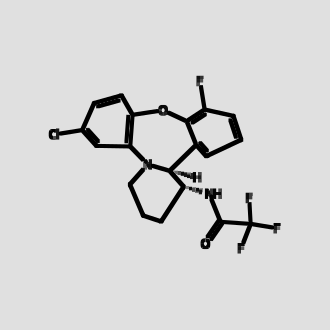 O=C(N[C@@H]1CCCN2c3cc(Cl)ccc3Oc3c(F)cccc3[C@@H]12)C(F)(F)F